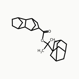 CC(C)(OC(=O)C1CC2CC1C1C3CCC(C3)C21)C12CC3CC(CC(C3)C1)C2